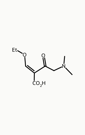 CCOC=C(C(=O)O)C(=O)CN(C)C